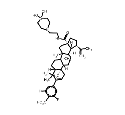 C=C(C)[C@@H]1CC[C@]2(C(=O)NCCN3CCS(O)(O)CC3)CC[C@]3(C)[C@H](CC[C@@H]4[C@@]5(C)CC=C(c6cc(F)c(C(=O)O)c(F)c6)C(C)(C)[C@@H]5CC[C@]43C)[C@@H]12